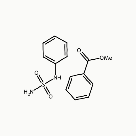 COC(=O)c1ccccc1.NS(=O)(=O)Nc1ccccc1